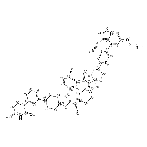 CCOc1cc(-c2ccc(N3CCC(CN4CCN(C(=O)CCN5CCN(c6cccc(C7CCC(=O)NC7=O)c6)CC5)CC4)(NC(=O)c4cc(F)ccc4F)CC3)nc2)c2c(C#N)cnn2c1